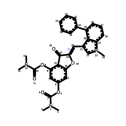 CN(C)C(=O)Oc1cc(OC(=O)N(C)C)c2c(c1)O/C(=C\c1cn(C)c3cccc(-c4ccccc4)c13)C2=O